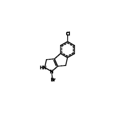 Clc1ccc2c(c1)C1=C(C2)N(Br)NC1